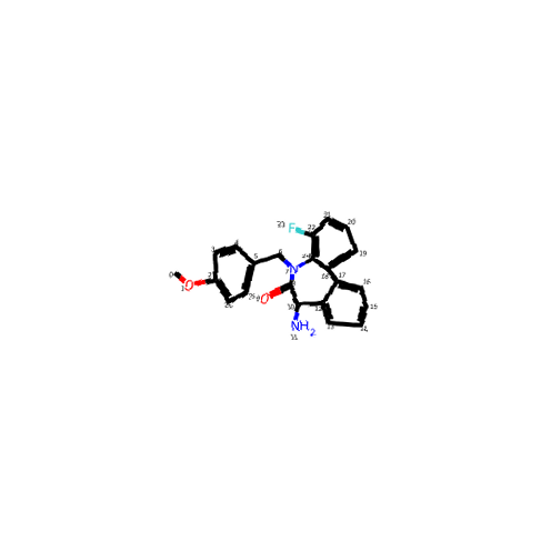 COc1ccc(CN2C(=O)C(N)c3ccccc3-c3cccc(F)c32)cc1